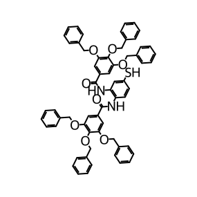 O=C(Nc1ccc(S)cc1NC(=O)c1cc(OCc2ccccc2)c(OCc2ccccc2)c(OCc2ccccc2)c1)c1cc(OCc2ccccc2)c(OCc2ccccc2)c(OCc2ccccc2)c1